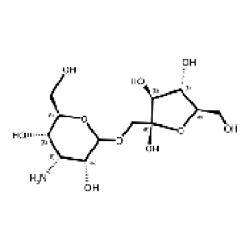 N[C@@H]1[C@H](O)[C@@H](CO)OC(OC[C@@]2(O)O[C@H](CO)[C@@H](O)[C@@H]2O)[C@@H]1O